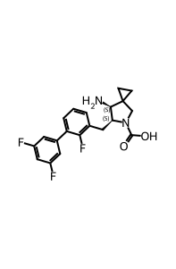 N[C@@H]1[C@H](Cc2cccc(-c3cc(F)cc(F)c3)c2F)N(C(=O)O)CC12CC2